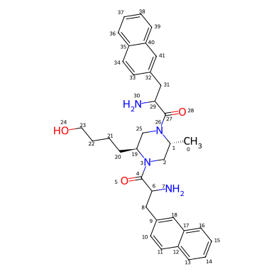 C[C@@H]1CN(C(=O)C(N)Cc2ccc3ccccc3c2)[C@@H](CCCCO)CN1C(=O)C(N)Cc1ccc2ccccc2c1